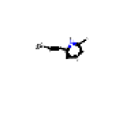 Cc1cccc(C#CC(C)(C)C)n1